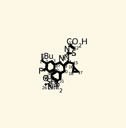 CC(C)(C)Cc1cc(-c2nn(-c3nc(C(=O)O)cs3)c(CC3CC3)c2Cc2ccc([SH](C)(N)=O)c(F)c2)ccc1F